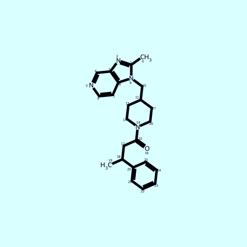 Cc1nc2cnccc2n1CC1CCN(C(=O)CC(C)c2ccccc2)CC1